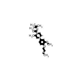 COCCOc1ccc(N2CCN(C(=O)OC(C)(C)C)C(C)C2)cc1OC